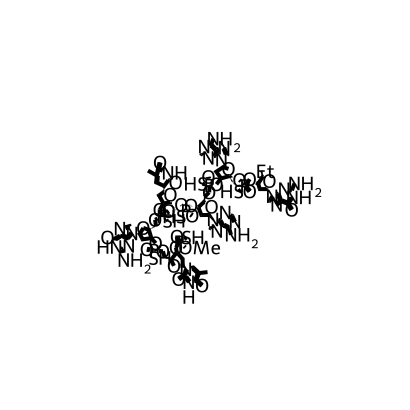 CC[C@H]1O[C@@H](n2cnc3c(=O)[nH]c(N)nc32)CC1OP(=O)(S)OC[C@H]1O[C@@H](n2cnc3c(N)ncnc32)CC1OP(=O)(S)OC[C@H]1O[C@@H](n2cnc3c(N)ncnc32)CC1OP(=O)(S)OC[C@H]1O[C@@H](C2C=C(C)C(=O)NC2=O)CC1OP(=O)(S)OC[C@H]1O[C@@H](n2cnc3c(=O)[nH]c(N)nc32)CC1OP(=O)(S)OC[C@H]1O[C@@H](n2cc(C)c(=O)[nH]c2=O)CC1OP(=O)(S)OC